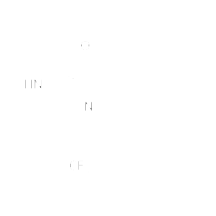 O=C1NC[C@@H](C(F)(F)F)N1c1ccccc1